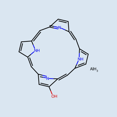 OC1=Cc2cc3ccc(cc4nc(cc5ccc(cc1n2)[nH]5)C=C4)[nH]3.[AlH3]